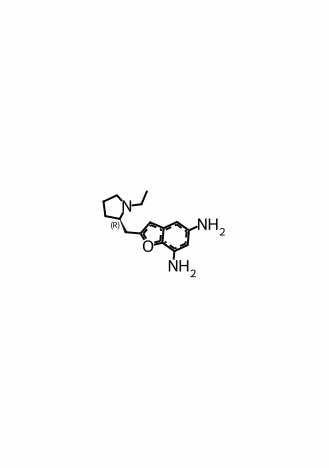 CCN1CCC[C@@H]1Cc1cc2cc(N)cc(N)c2o1